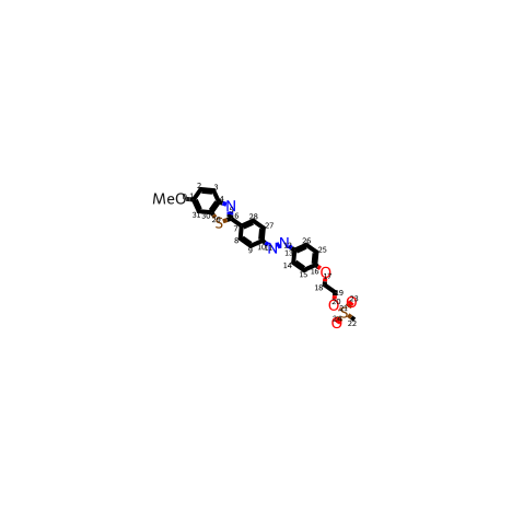 COc1ccc2nc(-c3ccc(/N=N/c4ccc(OCCOS(C)(=O)=O)cc4)cc3)sc2c1